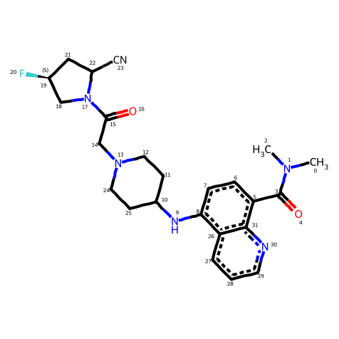 CN(C)C(=O)c1ccc(NC2CCN(CC(=O)N3C[C@@H](F)CC3C#N)CC2)c2cccnc12